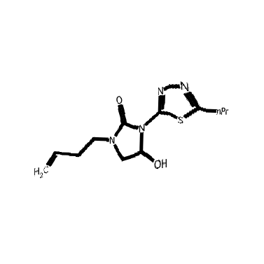 C=CCCN1CC(O)N(c2nnc(CCC)s2)C1=O